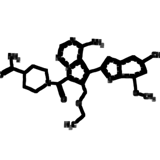 CCOCc1c(-c2cc3cc(C)cc(OC)c3s2)c2c(N)ncnn2c1C(=O)N1CCC(C(N)=O)CC1